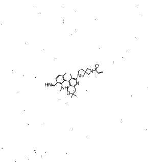 C=CC(=O)N1CC2(CCN(c3nc4c(c(-c5c(C)ccc(C=N)c5NC)c3C)COC(C)(C)C4)C2)C1